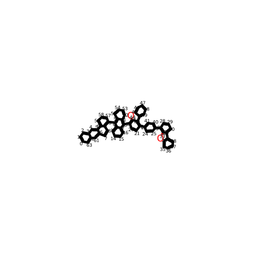 c1ccc2cc3c(ccc4c(-c5c6ccccc6c(-c6ccc(-c7ccc(-c8cccc9c8oc8ccccc89)cc7)c7c6oc6ccccc67)c6ccccc56)cccc43)cc2c1